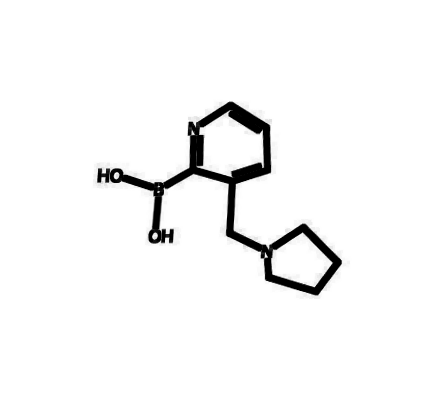 OB(O)c1ncccc1CN1CCCC1